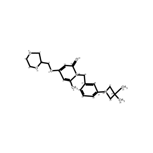 Cc1cc(OCC2COCCO2)cc(=O)n1Cc1cccc(N2CC(C)(C)C2)c1